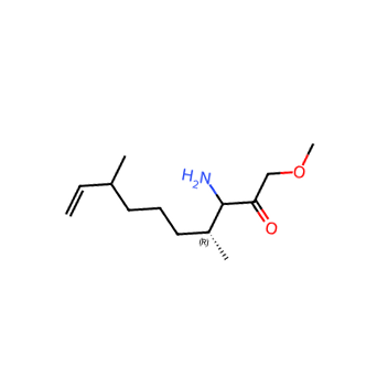 C=CC(C)CCC[C@@H](C)C(N)C(=O)COC